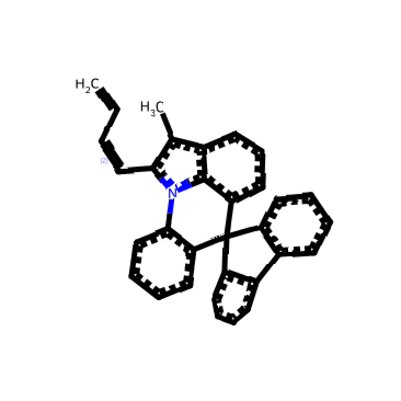 C=C/C=C\c1c(C)c2cccc3c2n1-c1ccccc1C31c2ccccc2-c2ccccc21